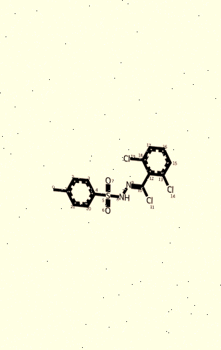 Cc1ccc(S(=O)(=O)NN=C(Cl)c2c(Cl)cccc2Cl)cc1